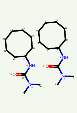 CN(C)C(=O)NC1CCCCCCC1.CN(C)C(=O)NC1CCCCCCC1